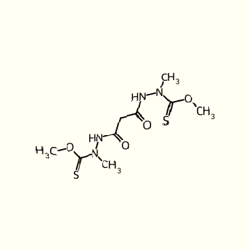 COC(=S)N(C)NC(=O)CC(=O)NN(C)C(=S)OC